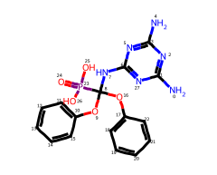 Nc1nc(N)nc(NC(Oc2ccccc2)(Oc2ccccc2)P(=O)(O)O)n1